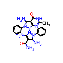 Cc1nc2c(c(=O)[nH]1)C(N)N(c1ccccc1)N2N1C(N)=C(C(N)=O)C(N)N1c1ccccc1